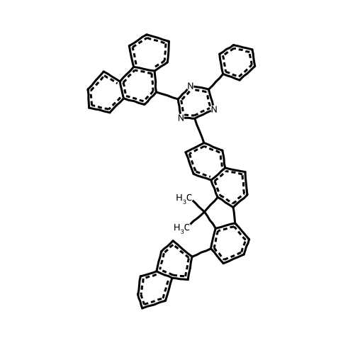 CC1(C)c2c(-c3ccc4ccccc4c3)cccc2-c2ccc3cc(-c4nc(-c5ccccc5)nc(-c5cc6ccccc6c6ccccc56)n4)ccc3c21